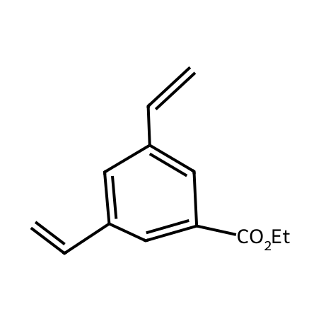 C=Cc1cc(C=C)cc(C(=O)OCC)c1